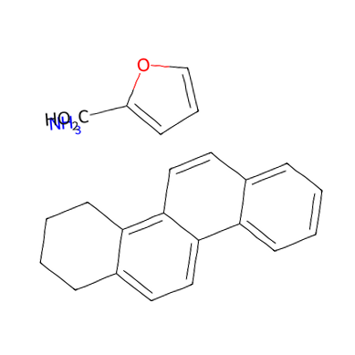 N.O=C(O)c1ccco1.c1ccc2c(c1)ccc1c3c(ccc12)CCCC3